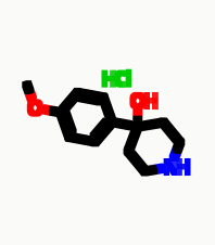 COc1ccc(C2(O)CCNCC2)cc1.Cl